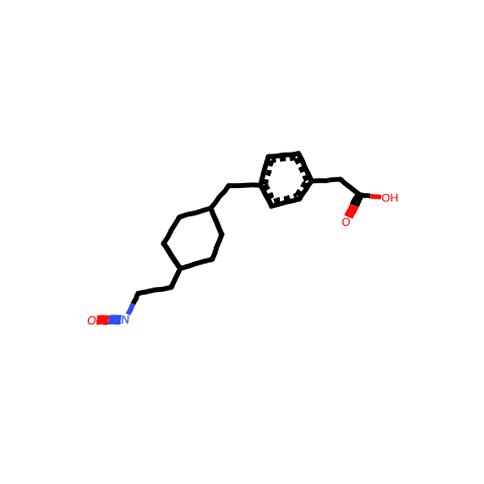 O=NCCC1CCC(Cc2ccc(CC(=O)O)cc2)CC1